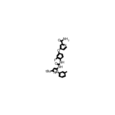 Cc1cccc(-n2nc(C(C)(C)C)cc2NC(=O)Nc2ccc(Oc3ccnc(C(N)=O)c3)cc2F)c1